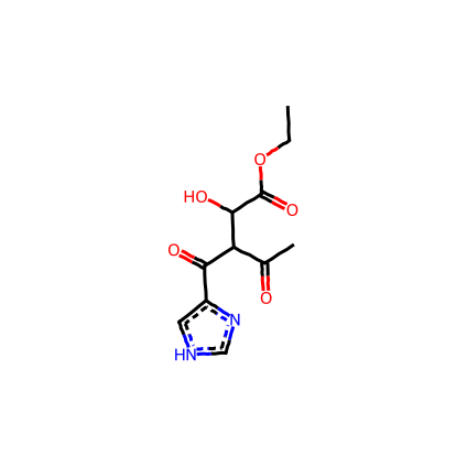 CCOC(=O)C(O)C(C(C)=O)C(=O)c1c[nH]cn1